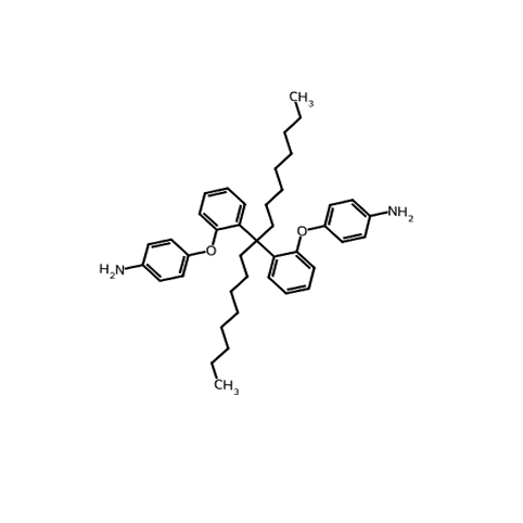 CCCCCCCCC(CCCCCCCC)(c1ccccc1Oc1ccc(N)cc1)c1ccccc1Oc1ccc(N)cc1